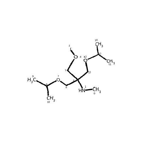 CNC(COI)(COC(C)C)COC(C)C